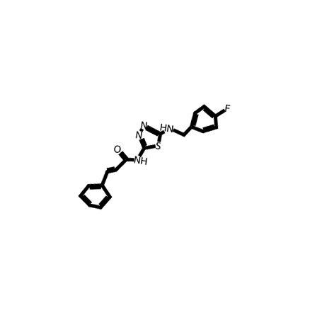 O=C(C=Cc1ccccc1)Nc1nnc(NCc2ccc(F)cc2)s1